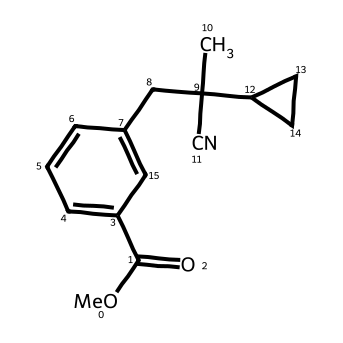 COC(=O)c1cccc(CC(C)(C#N)C2CC2)c1